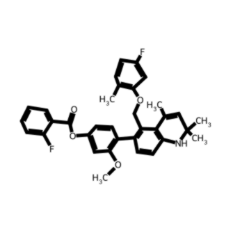 COc1cc(OC(=O)c2ccccc2F)ccc1-c1ccc2c(c1COc1cc(F)ccc1C)C(C)=CC(C)(C)N2